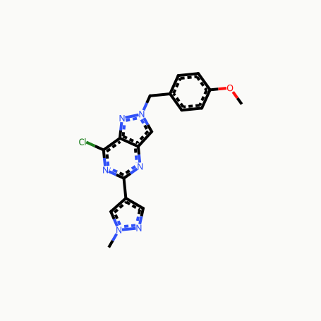 COc1ccc(Cn2cc3nc(-c4cnn(C)c4)nc(Cl)c3n2)cc1